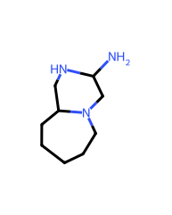 NC1CN2CCCCCC2CN1